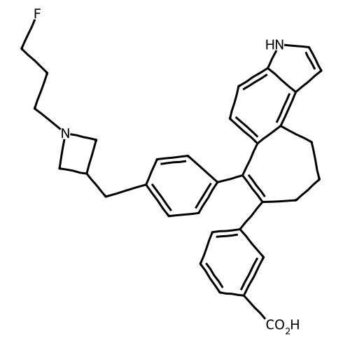 O=C(O)c1cccc(C2=C(c3ccc(CC4CN(CCCF)C4)cc3)c3ccc4[nH]ccc4c3CCC2)c1